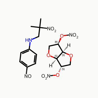 CC(C)(CNc1ccc(N=O)cc1)[N+](=O)[O-].O=[N+]([O-])O[C@H]1CO[C@H]2[C@@H]1OC[C@H]2O[N+](=O)[O-]